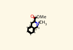 COC(=O)C1Cc2ccccc2CN1C